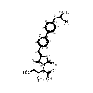 CC[C@@H](C)[C@@H](C(=O)O)N1C(=O)/C(=C/c2ccc(-c3ccc(OC(C)C)cc3)nc2)SC1=S